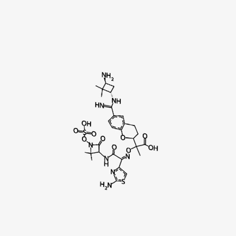 CC(ON=C(C(=O)NC1C(=O)N(OS(=O)(=O)O)C1(C)C)c1csc(N)n1)(C(=O)O)C1CCc2cc(C(=N)N[C@H]3C[C@H](N)C3(C)C)ccc2O1